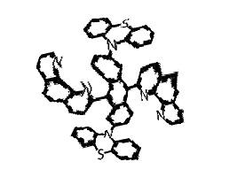 c1ccc2c(c1)Sc1ccccc1N2c1ccc2c(-c3ccc4ccc5cccnc5c4n3)c3cc(N4c5ccccc5Sc5ccccc54)ccc3c(-c3ccc4ccc5cccnc5c4n3)c2c1